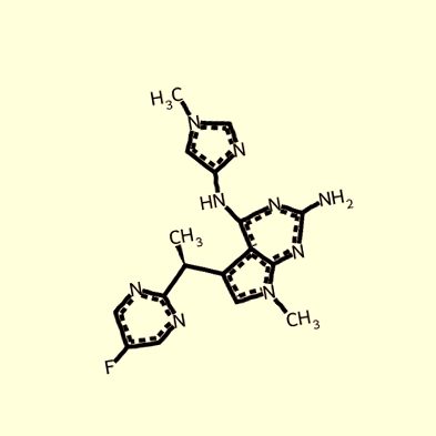 C[C@H](c1ncc(F)cn1)c1cn(C)c2nc(N)nc(Nc3cn(C)cn3)c12